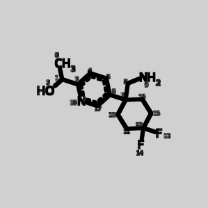 CC(O)c1ccc(C2(CN)CCC(F)(F)CC2)cn1